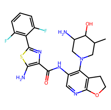 CC1CN(c2c(NC(=O)c3nc(-c4c(F)cccc4F)sc3N)cnc3c2CCO3)CC(N)C1O